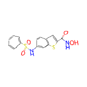 O=C(NO)c1cc2ccc(NS(=O)(=O)c3ccccc3)cc2s1